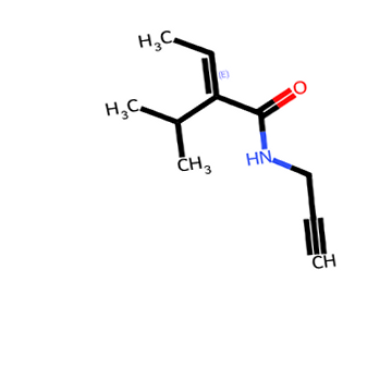 C#CCNC(=O)/C(=C/C)C(C)C